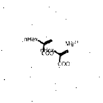 C=C(CCCCCC)C(=O)[O-].C=C(CCCCCC)C(=O)[O-].[Mg+2]